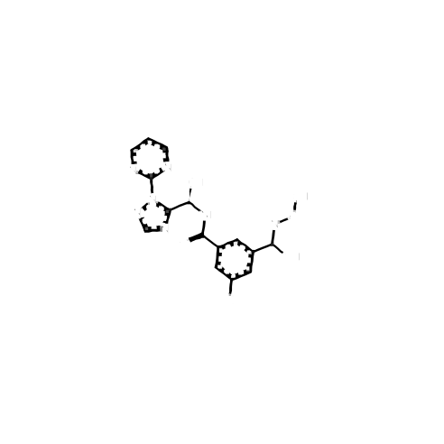 CONC(C)c1cc(Cl)cc(C(=O)N[C@H](C)c2ncnn2-c2ncccn2)c1